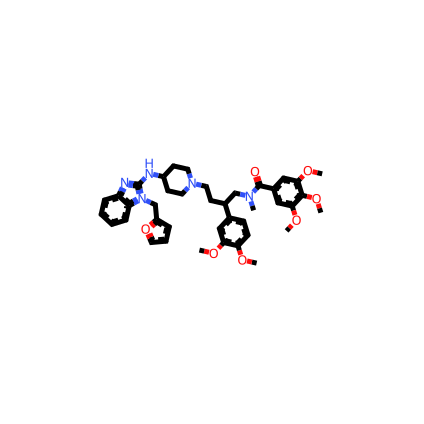 COc1ccc(C(CCN2CCC(Nc3nc4ccccc4n3Cc3ccco3)CC2)CN(C)C(=O)c2cc(OC)c(OC)c(OC)c2)cc1OC